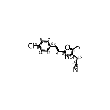 Cc1oc(C=Cc2ccc(Cl)cc2)nc1CC#N